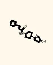 O=C(/C=C/c1ccccc1)N[C@H]1CC[C@H](c2ccc(O)cn2)CC1